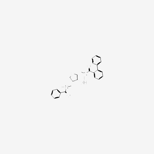 O=C(NC[C@@H]1CO[C@H](CNC(=O)c2ccccc2-c2ccccc2)[C@H]1O)c1ccccc1